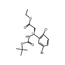 CCOC(=O)C[C@H](NC(=O)OC(C)(C)C)c1cc(Br)ccc1Cl